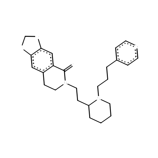 O=C1c2cc3c(cc2CCN1CCC1CCCCN1CCCc1ccncc1)OCO3